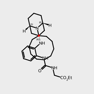 CCOC(=O)CNC(=O)Nc1ccccc1N[C@H]1C[C@H]2CCC[C@@H](C1)N2C1CCCCCCCCC1